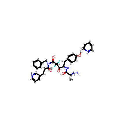 CC(C)[C@H](N)C(=O)NC(Cc1ccc(OCc2ccccn2)cc1)C(=O)C(F)(F)C(=O)N(Cc1ccccc1)C(=O)CCc1cccnc1